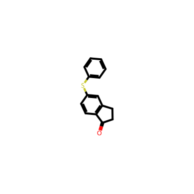 O=C1CCc2cc(Sc3ccccc3)ccc21